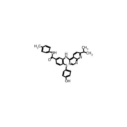 Cc1ccc(NC(=O)c2ccc(Sc3ccc(O)cc3)c(Nc3ncnc4nc(C(C)C)ccc34)c2)cc1